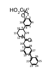 CC(C)(Oc1cccc(C2CCCN(C(=O)Cc3ccc(-c4ccccc4)cc3)C2)c1)C(=O)O